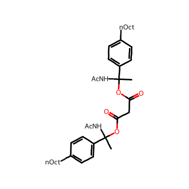 CCCCCCCCc1ccc(C(C)(NC(C)=O)OC(=O)CC(=O)OC(C)(NC(C)=O)c2ccc(CCCCCCCC)cc2)cc1